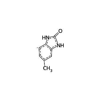 Cc1c[c]c2[nH]c(=O)[nH]c2c1